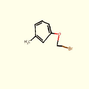 [CH2]c1cccc(OCBr)c1